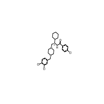 O=C(N[C@@H](CN1CCN(Cc2ccc(Cl)c(Cl)c2)CC1)C1CCCCC1)c1ccc(Cl)cc1